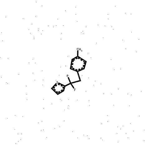 Cc1ccc(CC(F)(F)c2cccs2)cc1